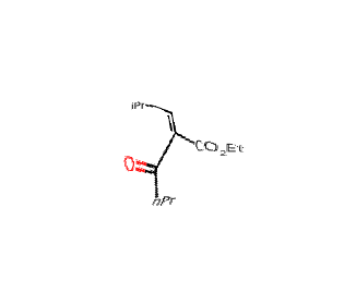 CCCC(=O)/C(=C\C(C)C)C(=O)OCC